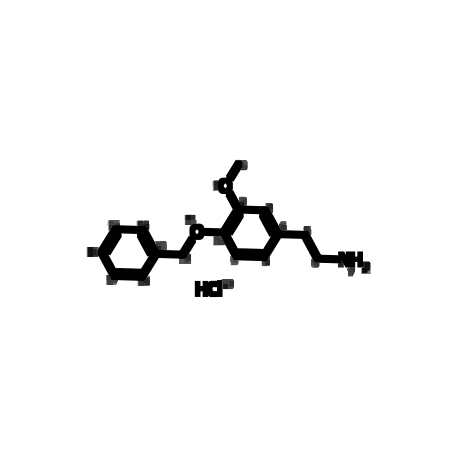 COc1cc(CCN)ccc1OCc1ccccc1.Cl